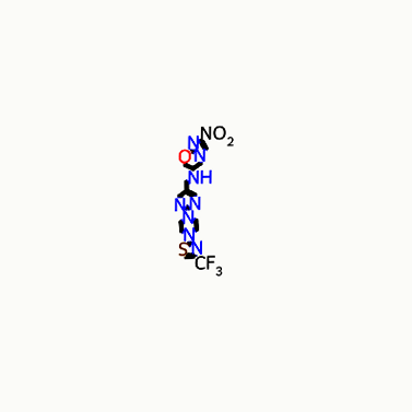 O=[N+]([O-])c1cn2c(n1)OC[C@@H](NCc1cnc(N3CCN(c4nc(C(F)(F)F)cs4)CC3)nc1)C2